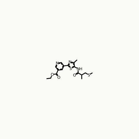 CCOC(=O)c1cncc(-c2nc(C)c(NC(=O)C(C)CSC)s2)c1